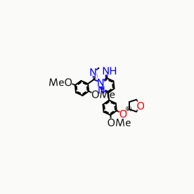 C/N=C(/c1cc(OC)ccc1OC)n1nc(-c2ccc(OC)c(O[C@@H]3CCOC3)c2)ccc1=N